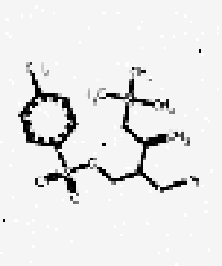 C=C(C[Si](C)(C)C)C(COS(=O)(=O)c1ccc(C)cc1)CC(C)C